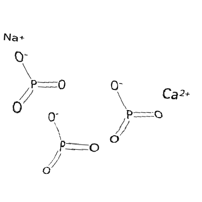 O=P(=O)[O-].O=P(=O)[O-].O=P(=O)[O-].[Ca+2].[Na+]